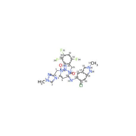 Cn1cnc(C[N+]2([O-])C=CC(=Nc3cc4cn(C)nc4cc3Cl)[N+]([O-])(Cc3cc(F)c(F)cc3F)N2)n1